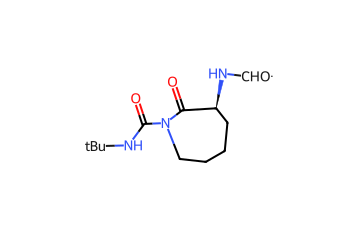 CC(C)(C)NC(=O)N1CCCC[C@H](N[C]=O)C1=O